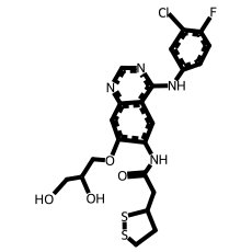 O=C(CC1CCSS1)Nc1cc2c(Nc3ccc(F)c(Cl)c3)ncnc2cc1OCC(O)CO